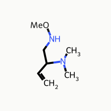 C=CC(CNOC)N(C)C